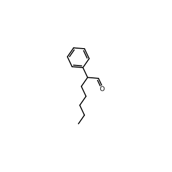 CCCCCC(C=O)c1ccccc1